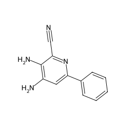 N#Cc1nc(-c2ccccc2)cc(N)c1N